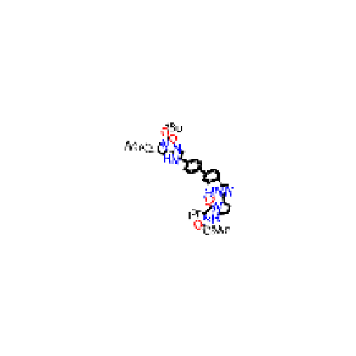 COC[C@H]1C[C@@H](c2ncc(-c3ccc(-c4ccc(-c5cnc(C6CCCN6C(=O)C(NC(=O)OC)C(C)C)[nH]5)cc4)cc3)[nH]2)N(C(=O)OC(C)(C)C)C1